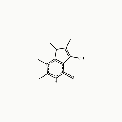 CC1=C(O)c2c(c(C)c(C)[nH]c2=O)C1C